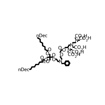 CCCCCCCCCCCCCCCCCC(=O)OCC(COC(C)=O)(COC(=O)CCCCCCCCCCCCCCCCC)C(=O)OCCN(CCOCC(=O)OCC(CN(CCN(CC(=O)O)CC(=O)O)CC(=O)O)N(CC(=O)O)CC(=O)O)Cc1ccccc1